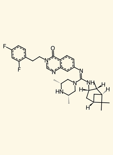 C[C@H]1[C@@H](NC(=Nc2ccc3c(=O)n(CCc4ccc(F)cc4F)cnc3c2)N2C[C@@H](C)N[C@@H](C)C2)C[C@@H]2C[C@@H]1C2(C)C